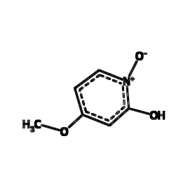 COc1cc[n+]([O-])c(O)c1